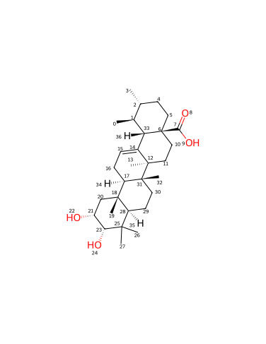 C[C@H]1[C@H](C)CC[C@]2(C(=O)O)CC[C@]3(C)C(=CC[C@@H]4[C@@]5(C)C[C@@H](O)[C@@H](O)C(C)(C)[C@@H]5CC[C@]43C)[C@H]12